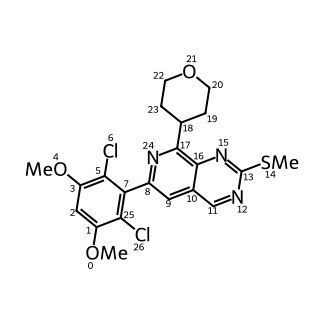 COc1cc(OC)c(Cl)c(-c2cc3cnc(SC)nc3c(C3CCOCC3)n2)c1Cl